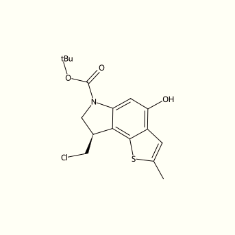 Cc1cc2c(O)cc3c(c2s1)[C@@H](CCl)CN3C(=O)OC(C)(C)C